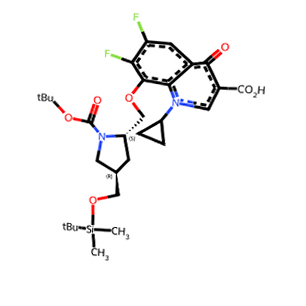 CC(C)(C)OC(=O)N1C[C@H](CO[Si](C)(C)C(C)(C)C)C[C@H]1COc1c(F)c(F)cc2c(=O)c(C(=O)O)cn(C3CC3)c12